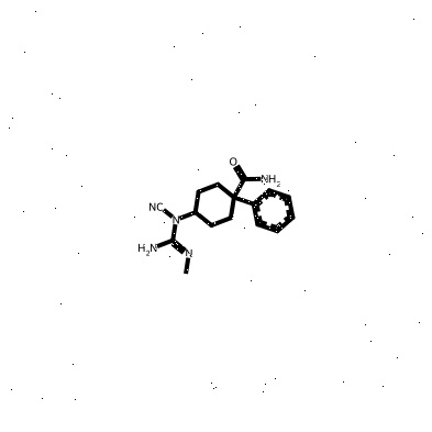 CN=C(N)N(C#N)C1CCC(C(N)=O)(c2ccccc2)CC1